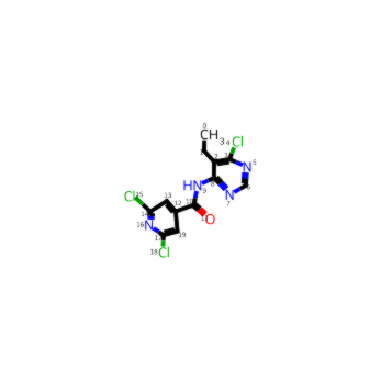 CCc1c(Cl)ncnc1NC(=O)c1cc(Cl)nc(Cl)c1